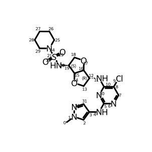 Cn1cc(Nc2ncc(Cl)c(N[C@@H]3COC4C3OC[C@@H]4NS(=O)(=O)N3CCCCC3)n2)cn1